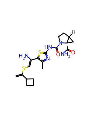 C=C(S/C=C(\N)c1sc(NC(=O)N2CC[C@@H]3C[C@@]32C(N)=O)nc1C)C1CCC1